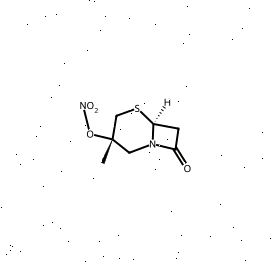 C[C@@]1(O[N+](=O)[O-])CS[C@H]2CC(=O)N2C1